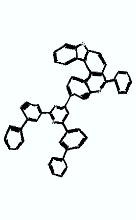 c1ccc(-c2cccc(-c3cc(-c4ccc5c(c4)nc(-c4ccccc4)c4ccc6oc7ccccc7c6c45)nc(-c4cccc(-c5ccccc5)c4)n3)c2)cc1